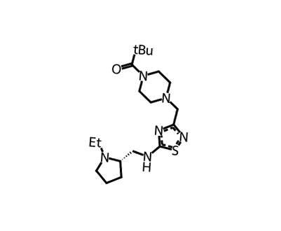 CCN1CCC[C@H]1CNc1nc(CN2CCN(C(=O)C(C)(C)C)CC2)ns1